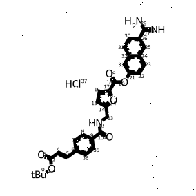 CC(C)(C)OC(=O)C=Cc1ccc(C(=O)NCc2ccc(C(=O)Oc3ccc4cc(C(=N)N)ccc4c3)o2)cc1.Cl